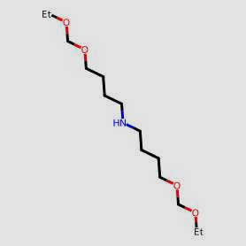 CCOCOCCCCNCCCCOCOCC